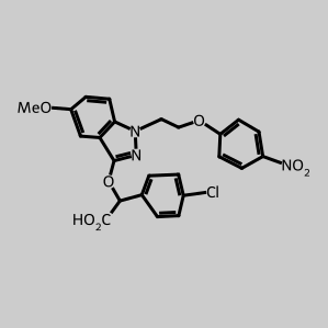 COc1ccc2c(c1)c(OC(C(=O)O)c1ccc(Cl)cc1)nn2CCOc1ccc([N+](=O)[O-])cc1